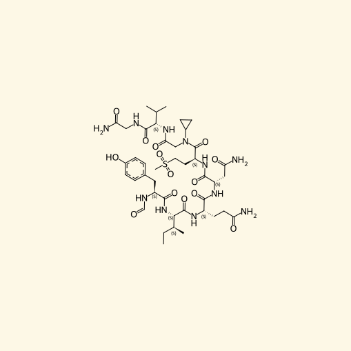 CC[C@H](C)[C@H](NC(=O)[C@H](Cc1ccc(O)cc1)NC=O)C(=O)N[C@@H](CCC(N)=O)C(=O)N[C@@H](CC(N)=O)C(=O)N[C@@H](CCS(C)(=O)=O)C(=O)N(CC(=O)N[C@H](C(=O)NCC(N)=O)C(C)C)C1CC1